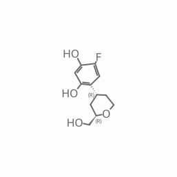 OC[C@H]1C[C@H](c2cc(F)c(O)cc2O)CCO1